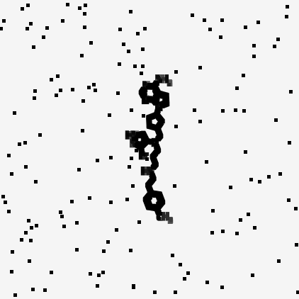 Cc1ccc(CCNCCCN(CC2CCC(n3ccc4c(N)ncnc43)C2)c2c[nH]nc2Br)cc1